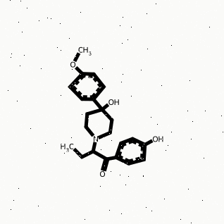 CCC(C(=O)c1ccc(O)cc1)N1CCC(O)(c2ccc(OC)cc2)CC1